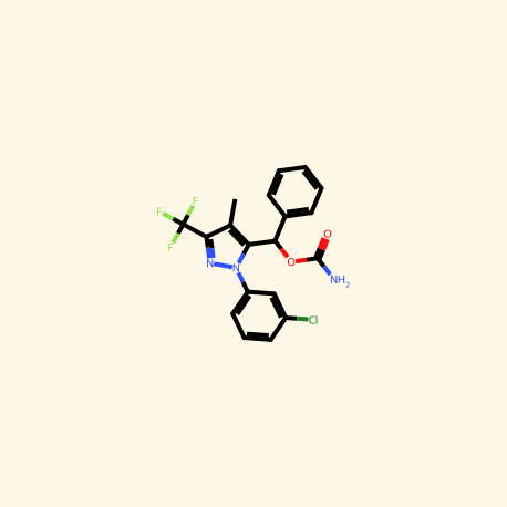 Cc1c(C(F)(F)F)nn(-c2cccc(Cl)c2)c1C(OC(N)=O)c1ccccc1